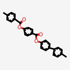 Cc1ccc(C(=O)Oc2ccc(C(=O)Oc3ccc(-c4ccc(C)cc4)cc3)cc2)cc1